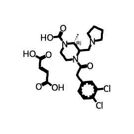 C[C@@H]1C(CN2CCCC2)N(C(=O)Cc2ccc(Cl)c(Cl)c2)CCN1C(=O)O.O=C(O)C=CC(=O)O